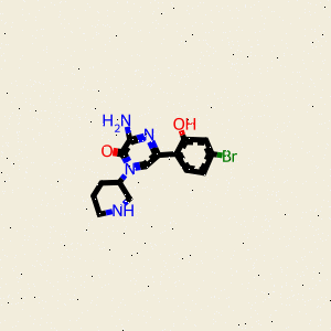 Nc1nc(-c2ccc(Br)cc2O)cn(C2CCCNC2)c1=O